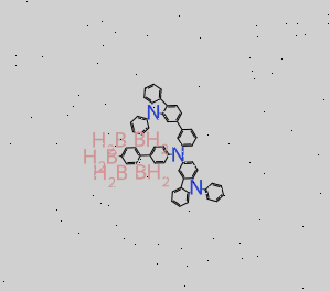 Bc1c(B)c(B)c(-c2ccc(N(c3cccc(-c4ccc5c6ccccc6n(-c6ccccc6)c5c4)c3)c3ccc4c(c3)c3ccccc3n4-c3ccccc3)cc2)c(B)c1B